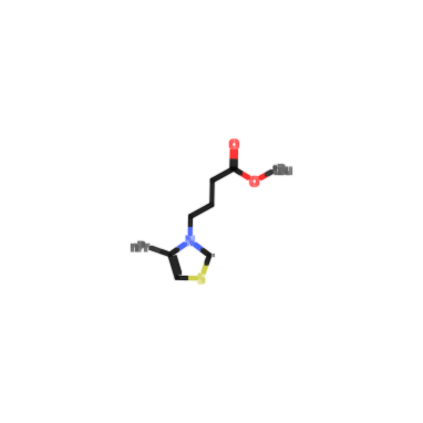 CCCC1=CS[CH]N1CCCC(=O)OC(C)(C)C